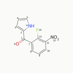 O=C(c1ccc[nH]1)c1cccc([N+](=O)[O-])c1F